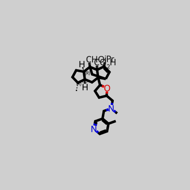 Cc1ccncc1CN(C)CC1CCC(C23C[C@@H]4[C@H](C)CC[C@H]4C4(C=O)CC2C=C(C(C)C)C34C(=O)O)O1